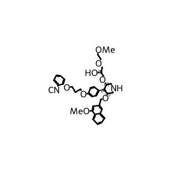 COCCOC[C@H](O)CO[C@H]1CNC[C@H](OCc2cc(OC)c3ccccc3c2)[C@H]1c1ccc(OCCCOc2ccccc2C#N)cc1